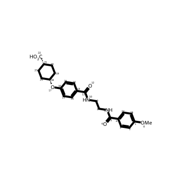 COc1ccc(C(=O)NCCNC(=O)c2ccc(O[C@H]3CC[C@@H](C(=O)O)CC3)cc2)cc1